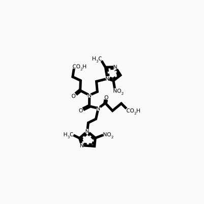 Cc1ncc([N+](=O)[O-])n1CCN(C(=O)CCC(=O)O)C(=O)N(CCn1c([N+](=O)[O-])cnc1C)C(=O)CCC(=O)O